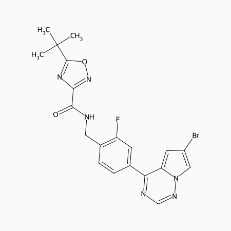 CC(C)(C)c1nc(C(=O)NCc2ccc(-c3ncnn4cc(Br)cc34)cc2F)no1